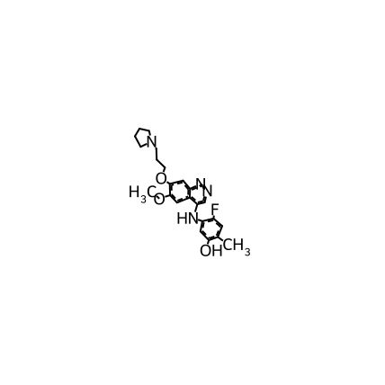 COc1cc2c(Nc3cc(O)c(C)cc3F)cnnc2cc1OCCCN1CCCC1